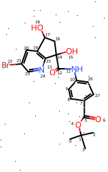 CC(C)(C)OC(=O)c1ccc(NC(=O)C2(O)CC(O)c3cc(Br)cnc32)cc1